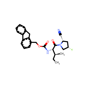 CC[C@H](C)[C@H](NC(=O)OCc1cccc2c1Cc1ccccc1-2)C(=O)N1C[C@@H](F)C[C@H]1C#N